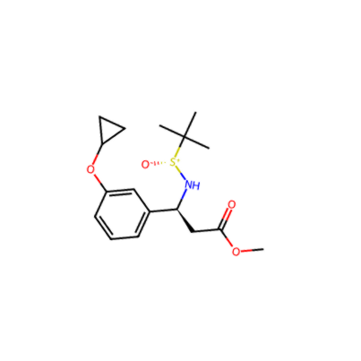 COC(=O)C[C@H](N[S@+]([O-])C(C)(C)C)c1cccc(OC2CC2)c1